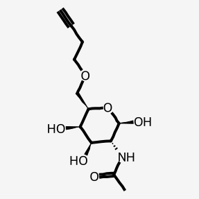 C#CCCOC[C@H]1O[C@@H](O)[C@H](NC(C)=O)[C@@H](O)[C@H]1O